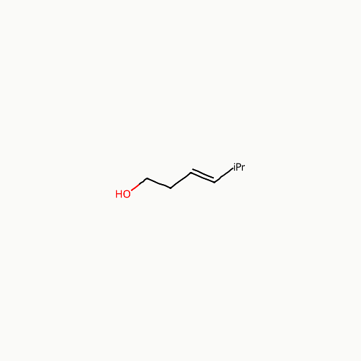 [CH2]C(C)C=CCCO